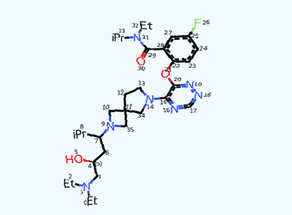 CCN(CC)C[C@@H](O)CC(C(C)C)N1CC2(CCN(c3ncnnc3Oc3ccc(F)cc3C(=O)N(CC)C(C)C)C2)C1